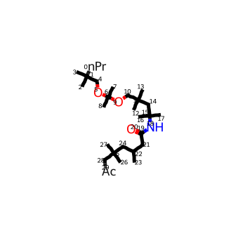 CCCC(C)(C)COC(C)(C)OCC(C)(C)CC(C)(C)NC(=O)CC(C)CC(C)(C)CC(C)=O